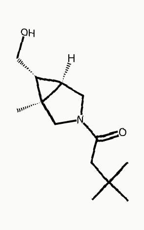 CC(C)(C)CC(=O)N1C[C@@H]2[C@@H](CO)[C@]2(C)C1